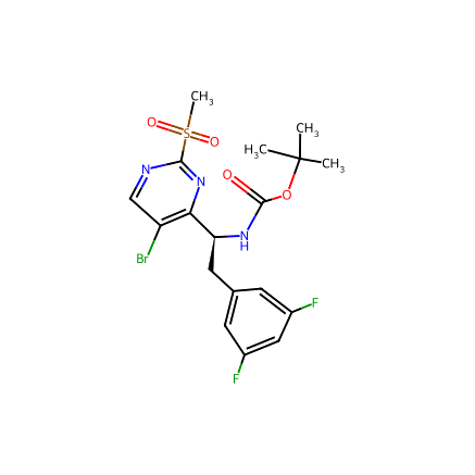 CC(C)(C)OC(=O)N[C@@H](Cc1cc(F)cc(F)c1)c1nc(S(C)(=O)=O)ncc1Br